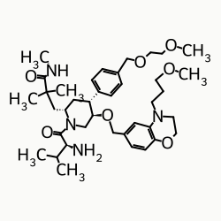 CNC(=O)C(C)(C)C[C@@H]1C[C@H](c2ccc(COCCOC)cc2)[C@@H](OCc2ccc3c(c2)N(CCCOC)CCO3)CN1C(=O)[C@@H](N)C(C)C